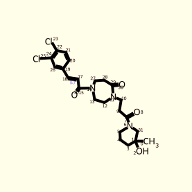 CC1(O)CCCN(C(=O)CCN2CCN(C(=O)/C=C/c3ccc(Cl)c(Cl)c3)CCC2=O)C1